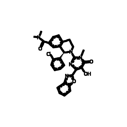 CN(C)C(=O)c1ccc2c(c1)[C@@H](c1ccccc1Cl)N(c1nc(-c3nc4ccccc4o3)c(O)c(=O)n1C)CC2